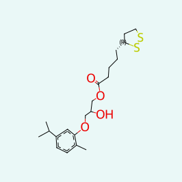 Cc1ccc(C(C)C)cc1OCC(O)COC(=O)CCCC[C@@H]1CCSS1